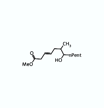 CCCCCC(O)C(C)C/C=C/CC(=O)OC